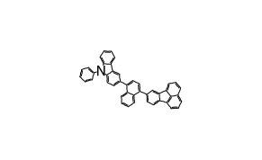 c1ccc(-n2c3ccccc3c3cc(-c4ccc(-c5ccc6c(c5)-c5cccc7cccc-6c57)c5ccccc45)ccc32)cc1